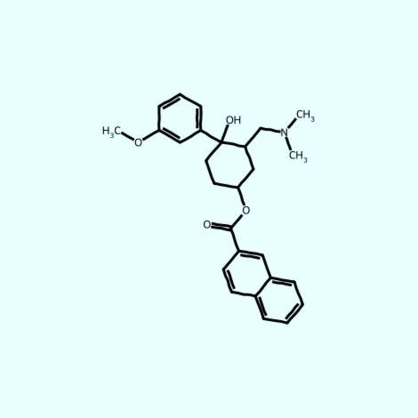 COc1cccc(C2(O)CCC(OC(=O)c3ccc4ccccc4c3)CC2CN(C)C)c1